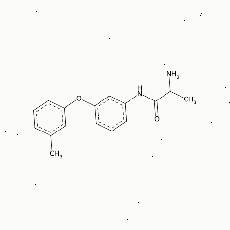 Cc1cccc(Oc2cccc(NC(=O)C(C)N)c2)c1